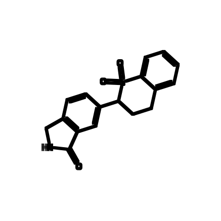 O=C1NCc2ccc(C3CCc4ccccc4S3(=O)=O)cc21